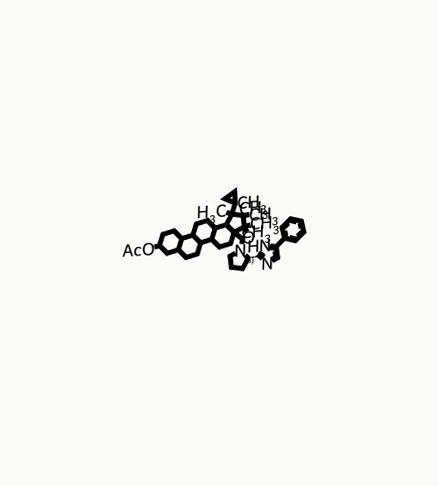 CC(=O)OC1CCC2C(CCC3C2CCC2C3CCC3(C(=O)N4CCC[C@H]4c4ncc(-c5ccccc5)[nH]4)C2C(C)(C2(C)CC2)C(C)(C)C3(C)C)C1